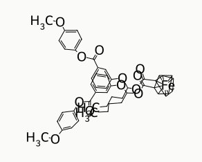 CCCCC(OC(=O)[C]12[CH]3[CH]4[CH]5[CH]1[Fe]45321678[CH]2[CH]1[CH]6[C]7(C(=O)OC(CCCC)Oc1cccc(C(=O)Oc3ccc(OC)cc3)c1)[CH]28)Oc1cccc(C(=O)Oc2ccc(OC)cc2)c1